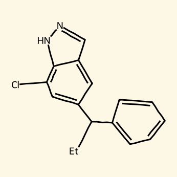 [CH2]CC(c1ccccc1)c1cc(Cl)c2[nH]ncc2c1